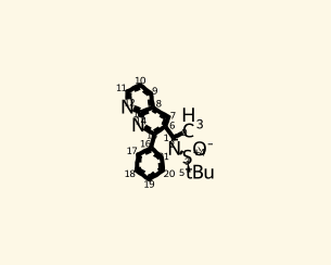 C/C(=N\[S@@+]([O-])C(C)(C)C)c1cc2cccnc2nc1-c1ccccc1